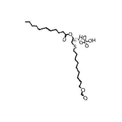 CCCCCCCCCCC(=O)O[C@H](COP(=O)(O)O)CSCCCCCCCCCOC=O